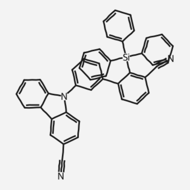 N#Cc1ccc2c(c1)c1ccccc1n2-c1cccc(-c2cccc(C#N)c2[Si](c2ccccc2)(c2ccccc2)c2ccccc2)c1